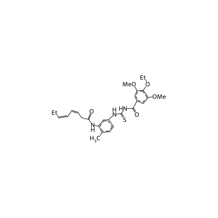 CC/C=C\C=C/CC(=O)Nc1cc(NC(=S)NC(=O)c2cc(OC)c(OCC)c(OC)c2)ccc1C